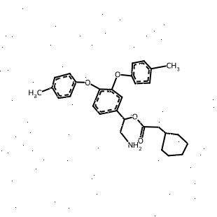 Cc1ccc(Oc2ccc(C(CN)OC(=O)CC3CCCCC3)cc2Oc2ccc(C)cc2)cc1